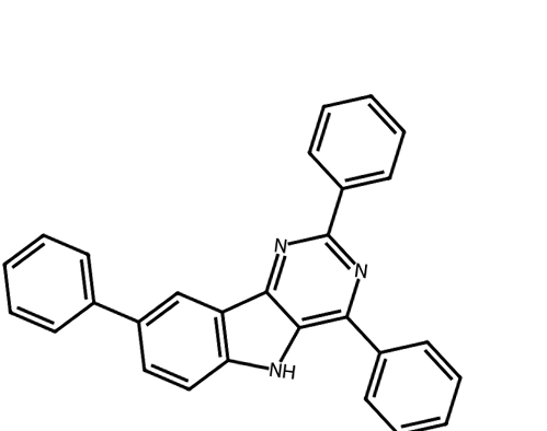 c1ccc(-c2ccc3[nH]c4c(-c5ccccc5)nc(-c5ccccc5)nc4c3c2)cc1